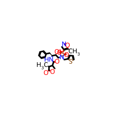 Cc1oncc1S(=O)(=O)N(Cc1cccs1)C[C@@H](O)[C@H](Cc1ccccc1)NC(=O)C1COC(=O)[C@H]1C